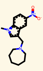 Cn1cc(CN2CCCCCC2)c2cc([N+](=O)[O-])ccc21